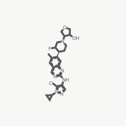 Cc1cc2cnc(Nc3cnn(C4CC4)c3Cl)nc2cc1[C@@H]1CCN(C2COCC2O)CC1F